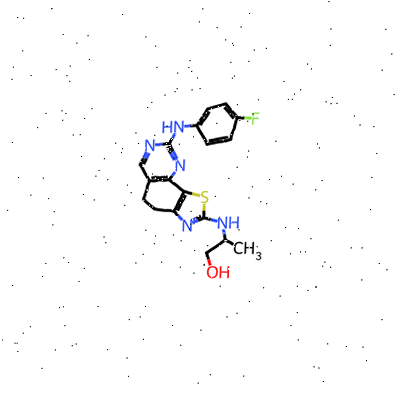 CC(CO)Nc1nc2c(s1)-c1nc(Nc3ccc(F)cc3)ncc1CC2